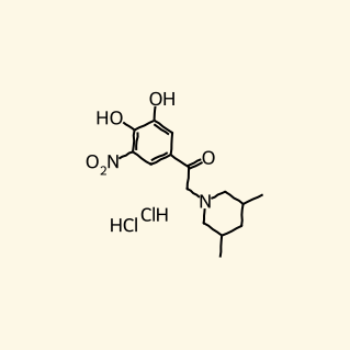 CC1CC(C)CN(CC(=O)c2cc(O)c(O)c([N+](=O)[O-])c2)C1.Cl.Cl